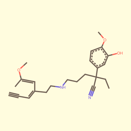 C#C/C=C(\C=C(/C)OC)CCNCCCC(C#N)(CC)c1ccc(OC)c(O)c1